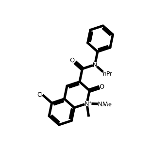 CCCN(C(=O)C1=Cc2c(Cl)cccc2[N+](C)(NC)C1=O)c1ccccc1